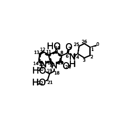 C[C@H]1CC[C@@H](NC(=O)c2c(O)c3cccnc3n(CC(O)CO)c2=O)CC1